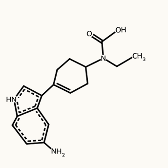 CCN(C(=O)O)C1CC=C(c2c[nH]c3ccc(N)cc23)CC1